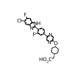 O=C(O)C[C@H]1CC[C@H](Oc2cnc(-c3ccc(-c4nc5cc(Cl)c(F)cc5[nH]4)c(F)c3)cn2)CC1